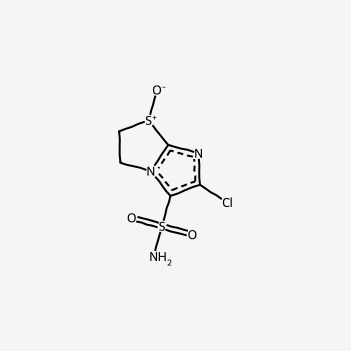 NS(=O)(=O)c1c(Cl)nc2n1CC[S+]2[O-]